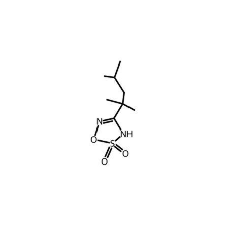 CC(C)CC(C)(C)C1=NOS(=O)(=O)N1